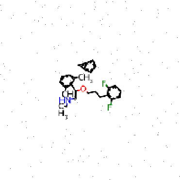 CCNCC(OCCCc1c(F)cccc1F)c1c(C)cccc1C.c1cc2cc-2c1